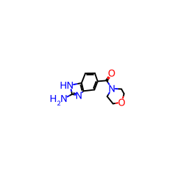 Nc1nc2cc(C(=O)N3CCOCC3)ccc2[nH]1